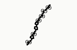 C=CC(=O)OCCOC(=O)CCC(=O)OCCC(=O)Oc1ccc(-c2ccc(/C=C/C(=O)Oc3ccc(CCOC(=O)C=C)cc3)cc2)cc1